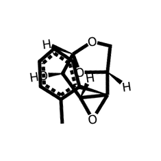 Cc1ccccc1[C@@]12O[C@@H]1[C@@H](O)[C@@H]1OC[C@H]2O1